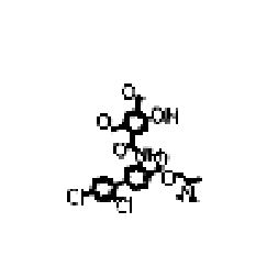 CC(COC(=O)c1ccc(-c2ccc(Cl)cc2Cl)cc1NC(=O)c1cc(O)c([C]=O)cc1[C]=O)N(C)C